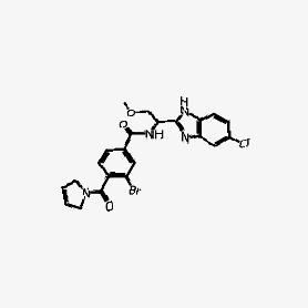 COCC(NC(=O)c1ccc(C(=O)N2CC=CC2)c(Br)c1)c1nc2cc(Cl)ccc2[nH]1